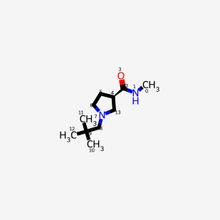 CNC(=O)[C@@H]1CCN(CC(C)(C)C)C1